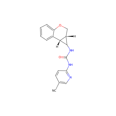 N#Cc1ccc(NC(=O)NC2[C@H]3COc4ccccc4[C@@H]23)nc1